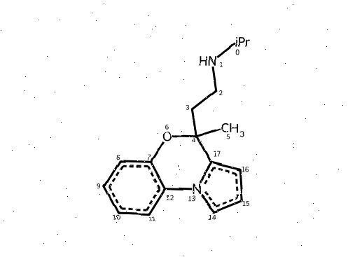 CC(C)NCCC1(C)Oc2ccccc2-n2cccc21